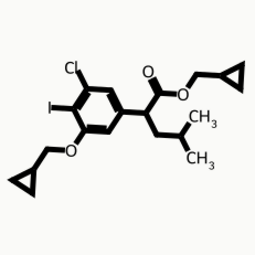 CC(C)CC(C(=O)OCC1CC1)c1cc(Cl)c(I)c(OCC2CC2)c1